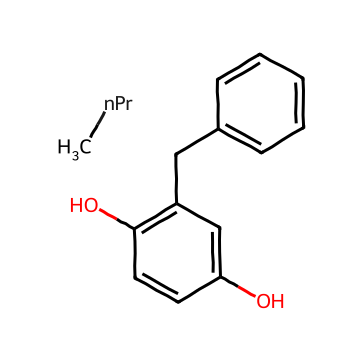 CCCC.Oc1ccc(O)c(Cc2ccccc2)c1